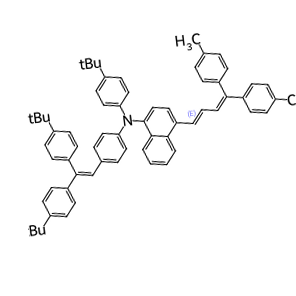 Cc1ccc(C(=C/C=C/c2ccc(N(c3ccc(C=C(c4ccc(C(C)(C)C)cc4)c4ccc(C(C)(C)C)cc4)cc3)c3ccc(C(C)(C)C)cc3)c3ccccc23)c2ccc(C)cc2)cc1